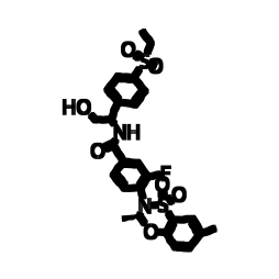 CCS(=O)(=O)c1ccc(C(CO)NC(=O)c2ccc(N3[C@H](C)Oc4ccc(C)cc4S3(=O)=O)c(F)c2)cc1